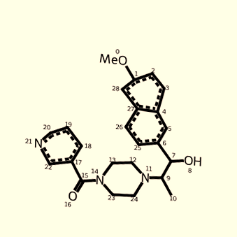 COc1ccc2cc(C(O)C(C)N3CCN(C(=O)c4cccnc4)CC3)ccc2c1